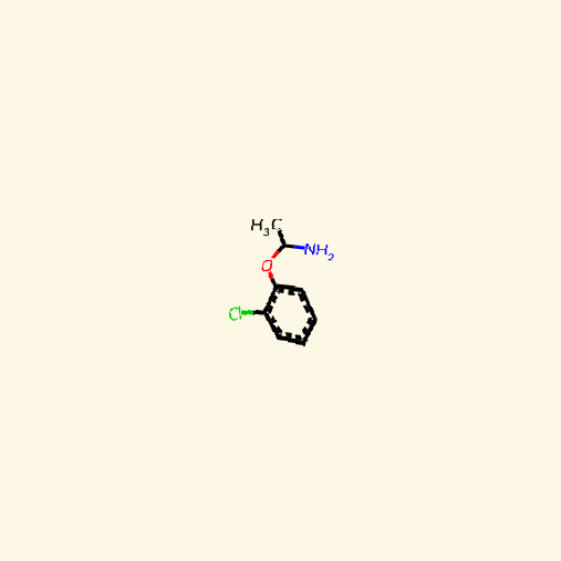 CC(N)Oc1ccccc1Cl